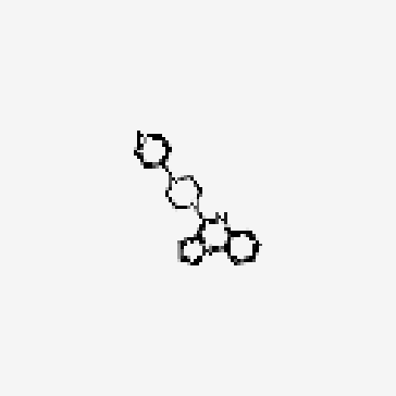 c1ccc2c(c1)nc(N1CCN(c3ccncc3)CC1)c1cccn12